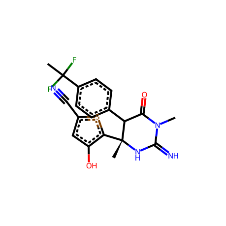 CN1C(=N)N[C@](C)(c2sc(C#N)cc2O)C(c2ccc(C(C)(F)F)cc2)C1=O